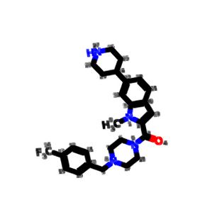 Cn1c(C(=O)N2CCN(Cc3ccc(C(F)(F)F)cc3)CC2)cc2ccc(C3CCNCC3)cc21